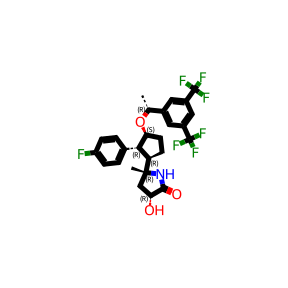 C[C@@H](O[C@H]1CC[C@@H]([C@@]2(C)C[C@@H](O)C(=O)N2)[C@@H]1c1ccc(F)cc1)c1cc(C(F)(F)F)cc(C(F)(F)F)c1